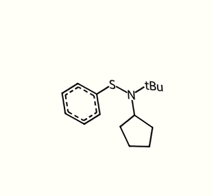 CC(C)(C)N(Sc1ccccc1)C1CCCC1